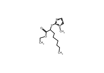 CCCCCCC(Sc1nccn1C)C(=O)OCC